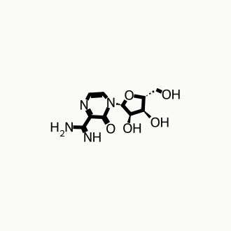 N=C(N)c1nccn([C@@H]2O[C@H](CO)[C@@H](O)[C@H]2O)c1=O